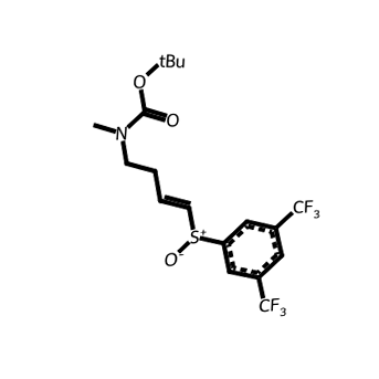 CN(CC/C=C/[S+]([O-])c1cc(C(F)(F)F)cc(C(F)(F)F)c1)C(=O)OC(C)(C)C